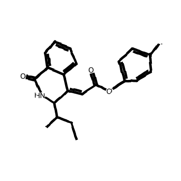 [CH2]c1ccc(OC(=O)/C=C2\c3ccccc3C(=O)NC2C(C)CC)cc1